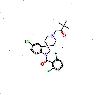 CC(C)(C)C(=O)CN1CCC2(CC1)CN(C(=O)c1c(F)cccc1F)c1ccc(Cl)cc12